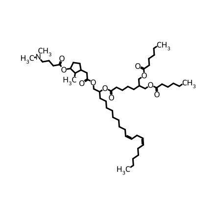 CCCCC/C=C\C/C=C\CCCCCCCCC(COC(=O)CC1CCC(OC(=O)CCCN(C)C)C1C)OC(=O)CCCCC(COC(=O)CCCCC)COC(=O)CCCCC